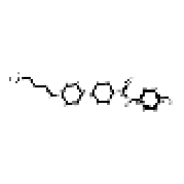 CCCCC[C@H]1CC[C@H](C2CCC(C(=O)Oc3ccc(Cl)cc3)CC2)CC1